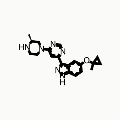 C[C@H]1CN(c2cc(-c3n[nH]c4ccc(OC5(C)CC5)cc34)ncn2)CCN1